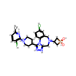 O=S1(=O)CC(N2Cc3cc(Cl)ccc3-n3c(nnc3C3CCN(c4nc(C(F)(F)F)ccc4F)CC3)C2)C1